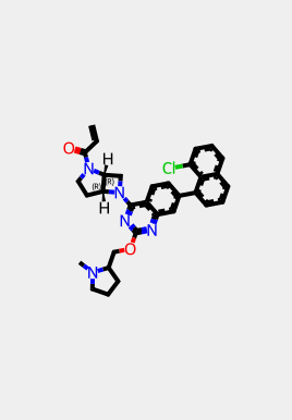 C=CC(=O)N1CC[C@@H]2[C@H]1CN2c1nc(OCC2CCCN2C)nc2cc(-c3cccc4cccc(Cl)c34)ccc12